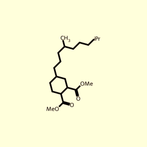 COC(=O)C1CCC(CCCC(C)CCCC(C)C)CC1C(=O)OC